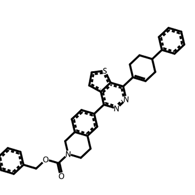 O=C(OCc1ccccc1)N1CCc2cc(-c3nnc(C4=CCC(c5ccccc5)CC4)c4sccc34)ccc2C1